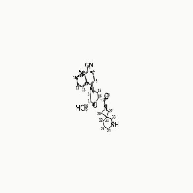 C[C@@H]1CN(c2ccc(C#N)c3ncccc23)C[C@H](C(=O)N2CC3(CCCNC3)C2)O1.Cl